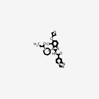 C=CC(=O)N1CCCC[C@@H](n2c(NC(=O)c3ccn4cnnc4c3)nc3ccc(OC4COC4)c(Cl)c32)C1